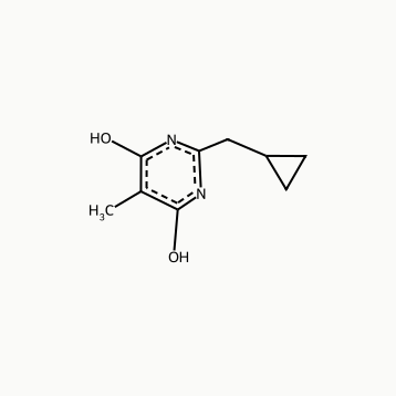 Cc1c(O)nc(CC2CC2)nc1O